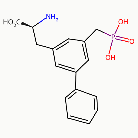 N[C@@H](Cc1cc(CP(=O)(O)O)cc(-c2ccccc2)c1)C(=O)O